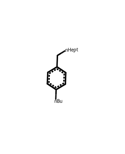 CCCCCCCCc1ccc(CCCC)cc1